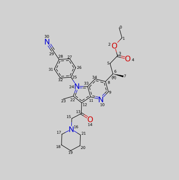 CCOC(=O)C[C@@H](C)c1cnc2c(C(=O)CN3CCCCC3)c(C)n(-c3ccc(C#N)cc3)c2c1